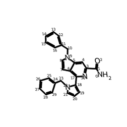 NC(=O)c1cc2c(ccn2Cc2ccccc2)c(-c2cccn2Cc2ccccc2)n1